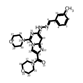 Cc1cccc(/C=N/Nc2cc3nc(C(=O)N4CCOCC4)cn3c(N3CCOCC3)n2)c1